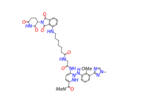 CNC(=O)C1=CC=C(NC(=O)CNC(=O)CCCCCCNc2cccc3c2C(=O)N(C2CCC(=O)NC2=O)C3=O)N(Nc2cccc(-c3ncn(C)n3)c2OC)N1